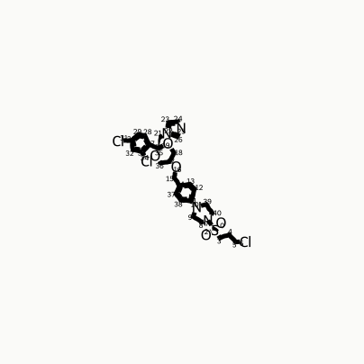 O=S(=O)(CCCCl)N1CCN(c2ccc(CO[C@H]3CO[C@@](Cn4ccnc4)(c4ccc(Cl)cc4Cl)OC3)cc2)CC1